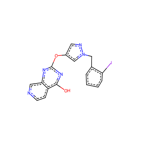 Oc1nc(Oc2cnn(Cc3ccccc3I)c2)nc2cnccc12